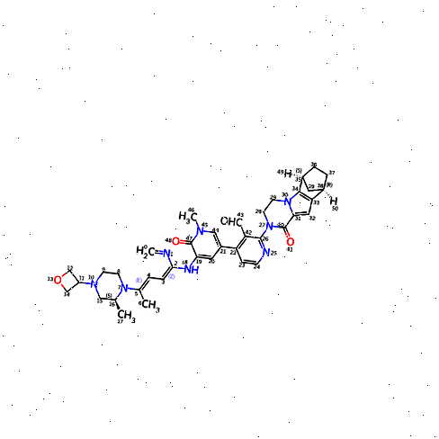 C=N/C(=C\C=C(/C)N1CCN(C2COC2)C[C@@H]1C)Nc1cc(-c2ccnc(N3CCn4c(cc5c4[C@H]4CC[C@@H]5C4)C3=O)c2C=O)cn(C)c1=O